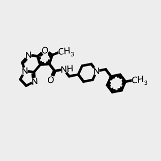 Cc1cccc(CN2CCC(CNC(=O)c3c(C)oc4c3C3=NCCN3C=N4)CC2)c1